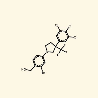 OCc1ccc(N2CCC(c3cc(Cl)c(Cl)c(Cl)c3)(C(F)(F)F)C2)cc1Br